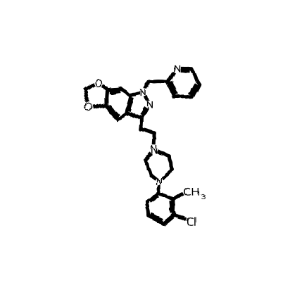 Cc1c(Cl)cccc1N1CCN(CCc2nn(Cc3ccccn3)c3cc4c(cc23)OCO4)CC1